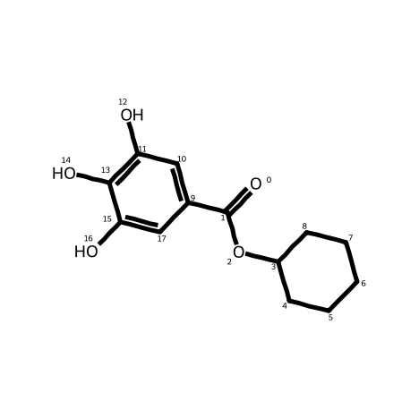 O=C(OC1CCCCC1)c1cc(O)c(O)c(O)c1